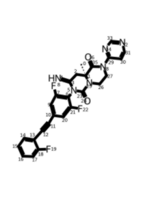 C[C@@]12CC(=N)N(c3c(F)cc(C#Cc4ccccc4F)cc3F)C(=O)N1CCN(c1ccncn1)C2=O